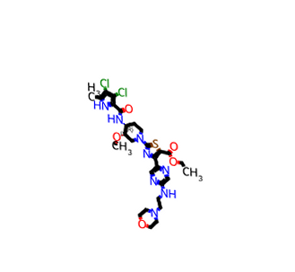 CCOC(=O)c1sc(N2CC[C@@H](NC(=O)c3[nH]c(C)c(Cl)c3Cl)[C@@H](OC)C2)nc1-c1cnc(NCCN2CCOCC2)cn1